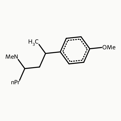 CCCC(CC(C)c1ccc(OC)cc1)NC